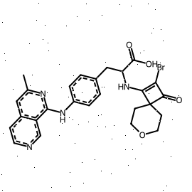 Cc1cc2ccncc2c(Nc2ccc(CC(NC3=C(Br)C(=O)C34CCOCC4)C(=O)O)cc2)n1